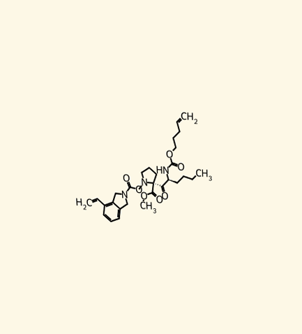 C=CCCCOC(=O)N[C@@H](CCCC)C(=O)[C@@]1(C(=O)OC)CCCN1OC(=O)N1Cc2cccc(C=C)c2C1